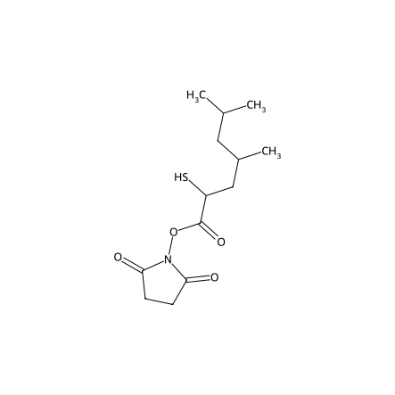 CC(C)CC(C)CC(S)C(=O)ON1C(=O)CCC1=O